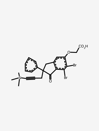 C[Si](C)(C)C#CCC1(c2ccccc2)Cc2cc(OCC(=O)O)c(Br)c(Br)c2C1=O